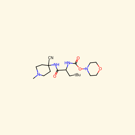 CN1CCC(C#N)(NC(=O)C(CC(C)(C)C)NC(=O)ON2CCOCC2)CC1